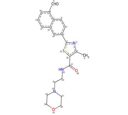 Cc1nc(-c2ccc3c(C=O)cccc3c2)sc1C(=O)NCCN1CCOCC1